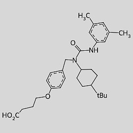 Cc1cc(C)cc(NC(=O)N(Cc2ccc(OCCCC(=O)O)cc2)C2CCC(C(C)(C)C)CC2)c1